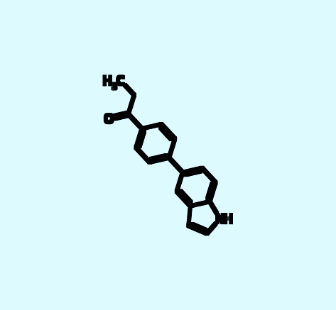 CCC(=O)c1ccc(-c2ccc3[nH]ccc3c2)cc1